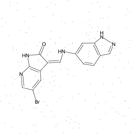 O=C1Nc2ncc(Br)cc2C1=CNc1ccc2cn[nH]c2c1